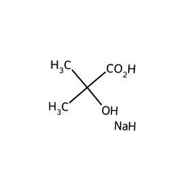 CC(C)(O)C(=O)O.[NaH]